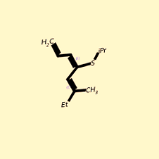 C=C/C=C(\C=C(/C)CC)SC(C)C